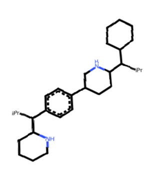 CC(C)C(c1ccc(C2CCC(C(C(C)C)C3CCCCC3)NC2)cc1)C1CCCCN1